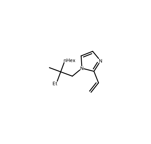 C=Cc1nccn1CC(C)(CC)CCCCCC